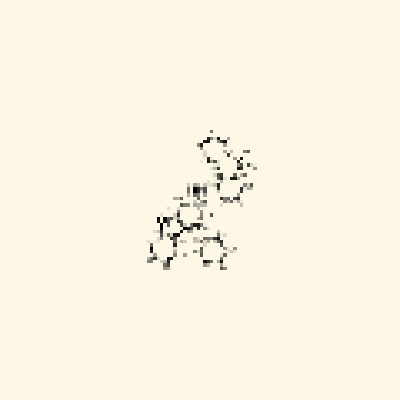 CC1(C)c2ccccc2-c2c(Nc3cc(-c4ccccc4)c4c(c3)oc3ccccc34)cccc21